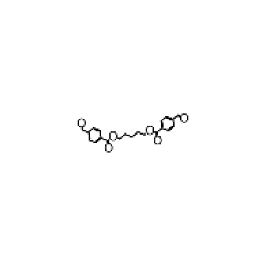 O=Cc1ccc(C(=O)OCCCCCOC(=O)c2ccc(C=O)cc2)cc1